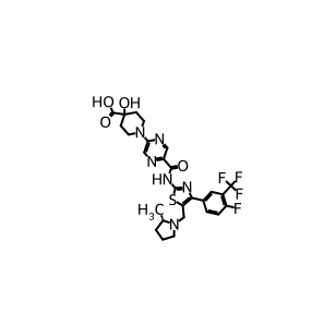 C[C@@H]1CCCN1Cc1sc(NC(=O)c2cnc(N3CCC(O)(C(=O)O)CC3)cn2)nc1-c1ccc(F)c(C(F)(F)F)c1